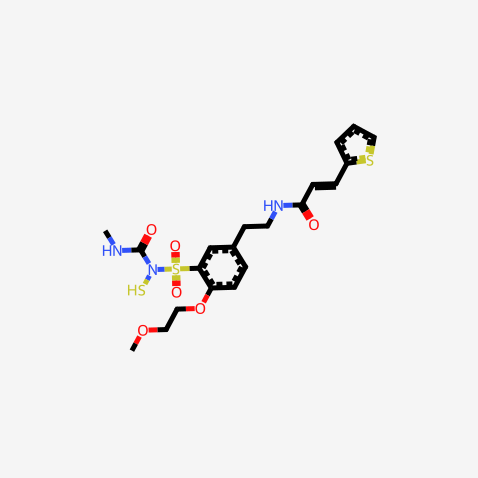 CNC(=O)N(S)S(=O)(=O)c1cc(CCNC(=O)/C=C/c2cccs2)ccc1OCCOC